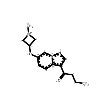 CCCC(=O)c1cnn2cc(OC3CN(C)C3)ccc12